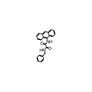 O=C(NCc1ccccc1)C(=O)Nc1c2ccccc2cc2ccccc12